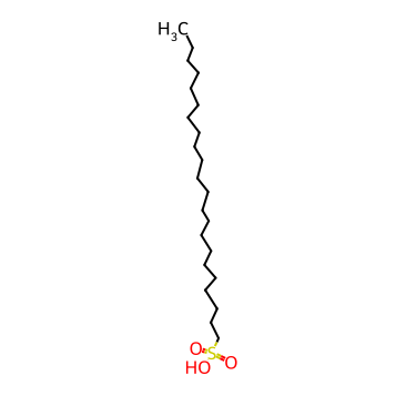 CCCCCCCCCCCCCCCCCCCCCCS(=O)(=O)O